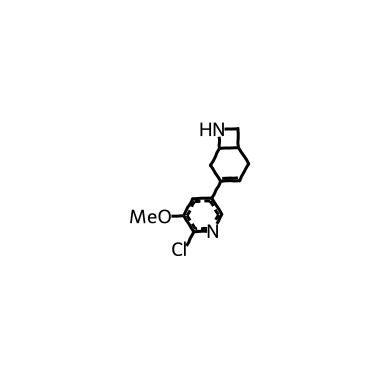 COc1cc(C2=CCC3CNC3C2)cnc1Cl